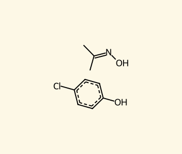 CC(C)=NO.Oc1ccc(Cl)cc1